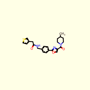 CC1CCN(C(=O)c2coc(-c3ccc(CNC(=O)Cc4ccsc4)cc3)n2)CC1